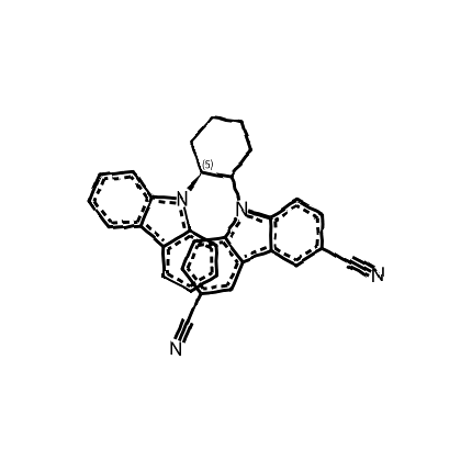 N#Cc1ccc2c(c1)c1cc(C#N)ccc1n2C1CCCC[C@@H]1n1c2ccccc2c2ccccc21